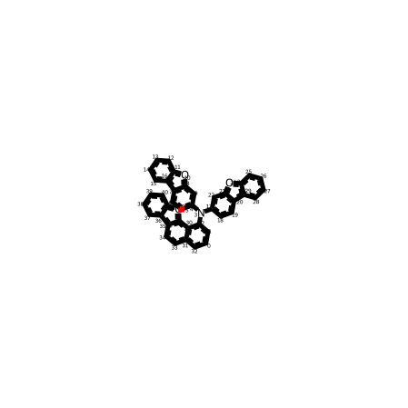 c1cc(N(c2ccc3c(c2)oc2ccccc23)c2ccc3c(c2)oc2ccccc23)c2c(c1)ccc1c3ccccc3oc12